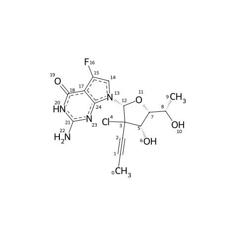 CC#CC1(Cl)[C@@H](O)[C@@H]([C@H](C)O)O[C@H]1n1cc(F)c2c(=O)[nH]c(N)nc21